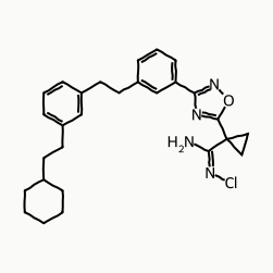 N/C(=N/Cl)C1(c2nc(-c3cccc(CCc4cccc(CCC5CCCCC5)c4)c3)no2)CC1